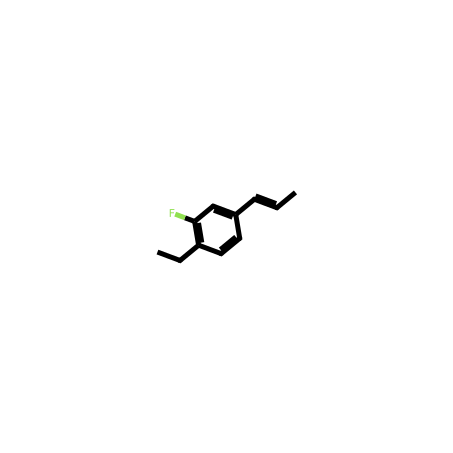 C/C=C/c1ccc(CC)c(F)c1